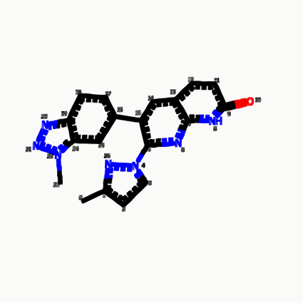 Cc1ccn(-c2nc3[nH]c(=O)ccc3cc2-c2ccc3nnn(C)c3c2)n1